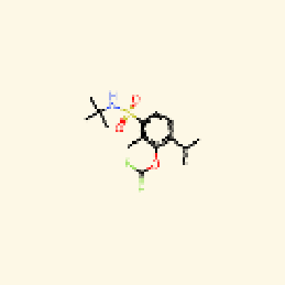 Cc1c(S(=O)(=O)NC(C)(C)C)ccc(C(C)C)c1OC(F)F